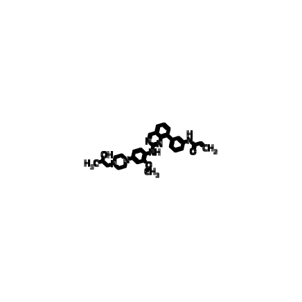 C=CC(=O)Nc1cccc(-c2cccc3cnc(Nc4ccc(N5CCN(CC(C)O)CC5)cc4OC)nc23)c1